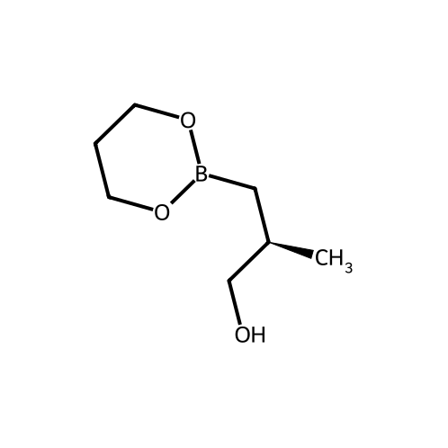 C[C@@H](CO)CB1OCCCO1